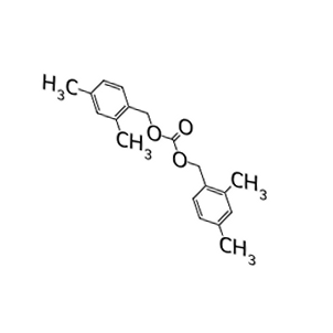 Cc1ccc(COC(=O)OCc2ccc(C)cc2C)c(C)c1